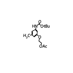 CC(=O)OCCOc1cc(C)cc(NC(=O)OC(C)(C)C)c1